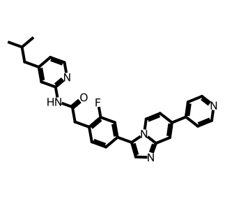 CC(C)Cc1ccnc(NC(=O)Cc2ccc(-c3cnc4cc(-c5ccncc5)ccn34)cc2F)c1